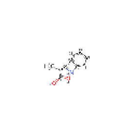 Cc1c2n(oc1=O)-c1ccccc1-2